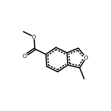 [CH2]c1occ2cc(C(=O)OC)ccc12